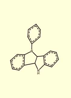 c1ccc(N2c3ccccc3C3Nc4ccccc4C32)cc1